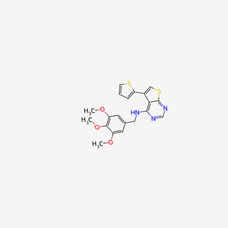 COc1cc(CNc2ncnc3scc(-c4cccs4)c23)cc(OC)c1OC